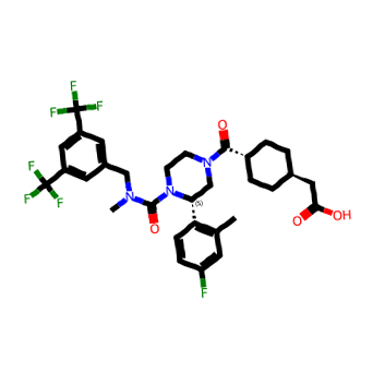 Cc1cc(F)ccc1[C@H]1CN(C(=O)[C@H]2CC[C@H](CC(=O)O)CC2)CCN1C(=O)N(C)Cc1cc(C(F)(F)F)cc(C(F)(F)F)c1